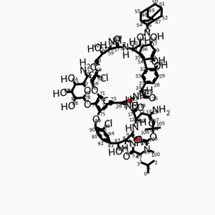 CC(C)C[C@H](C(=O)N[C@H]1C(=O)N[C@@H](CC(N)=O)C(=O)N[C@H]2C(=O)N[C@@H](C=O)c3ccc(O)c(c3)C3=C(CC(O)C=C3O)[C@@H](CONC3C4CC5CC(C4)CC3C5)NC(=O)[C@H](N)C(O)c3ccc(c(Cl)c3)Oc3cc2cc(c3OC2OC(CN)C(O)C(O)C2O)Oc2ccc(cc2Cl)C1O)N(C)C(=O)OC(C)(C)C